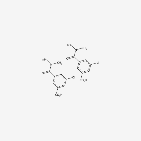 CCCN(C)C(=O)c1cc(Cl)cc(C(=O)O)c1.CCCN(C)C(=O)c1cc(Cl)cc(C(=O)O)c1